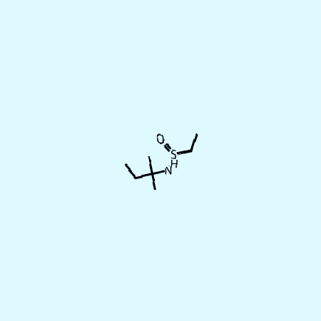 CC[SH](=O)=NC(C)(C)CC